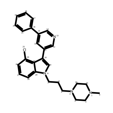 CN1CCN(CCCn2cc(-c3cncc(-c4ccccc4)c3)c3c(Cl)cccc32)CC1